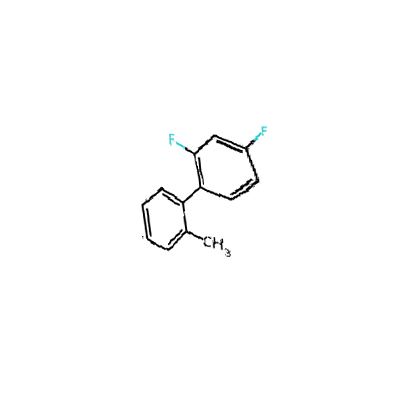 Cc1c[c]ccc1-c1ccc(F)cc1F